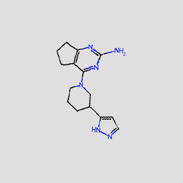 Nc1nc2c(c(N3CCCC(c4ccn[nH]4)C3)n1)CCC2